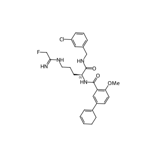 COc1ccc(C2=CC=CCC2)cc1C(=O)N[C@@H](CCCNC(=N)CF)C(=O)NCc1cccc(Cl)c1